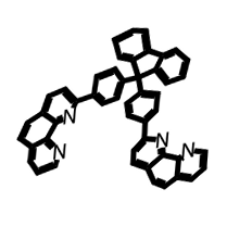 c1ccc2c(c1)-c1ccccc1C2(c1ccc(-c2ccc3ccc4cccnc4c3n2)cc1)c1ccc(-c2ccc3ccc4cccnc4c3n2)cc1